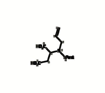 C=CCN(CCCCC)C(CC(=O)O)C(=O)O